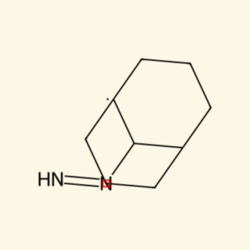 N=NC1[C]2CCCC1CCC2